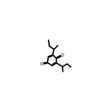 CCC(C)C1=CC(=O)C=C(C(C)CC)C1=O